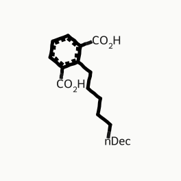 CCCCCCCCCCCCCCCc1c(C(=O)O)cccc1C(=O)O